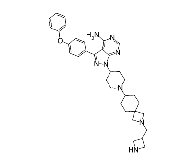 Nc1ncnc2c1c(-c1ccc(Oc3ccccc3)cc1)nn2C1CCN(C2CCC3(CC2)CN(CC2CNC2)C3)CC1